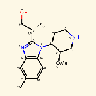 CO[C@@H]1CNCCC1n1c([C@@H](C)CO)nc2cc(C)ccc21